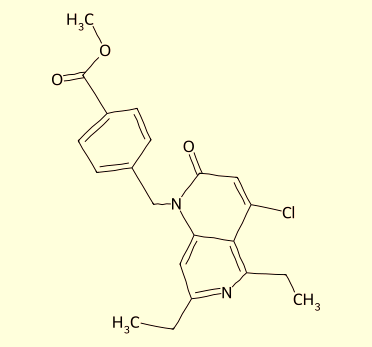 CCc1cc2c(c(Cl)cc(=O)n2Cc2ccc(C(=O)OC)cc2)c(CC)n1